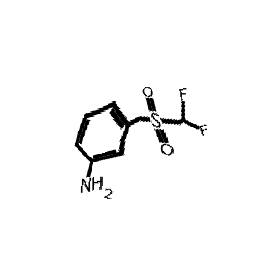 Nc1cccc(S(=O)(=O)C(F)F)c1